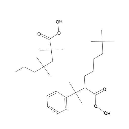 CC(C)(C)CCCCC(C(=O)OO)C(C)(C)c1ccccc1.CCCC(C)(C)CC(C)(C)C(=O)OO